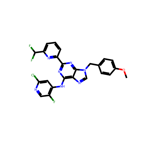 COc1ccc(Cn2cnc3c(Nc4cc(Cl)ncc4F)nc(-c4cccc(C(F)F)n4)nc32)cc1